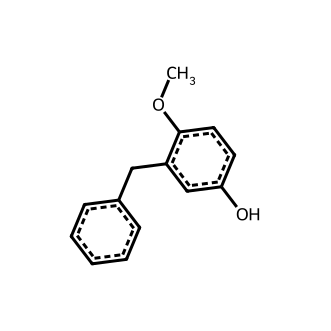 COc1ccc(O)cc1Cc1ccccc1